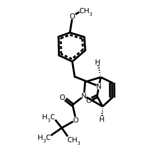 COc1ccc(CN2C(=O)[C@H]3C#C[C@@H]2CN3C(=O)OC(C)(C)C)cc1